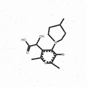 Cc1nc(C)c(C(O)C(=O)O)c(N2CCC(C)CC2)c1Br